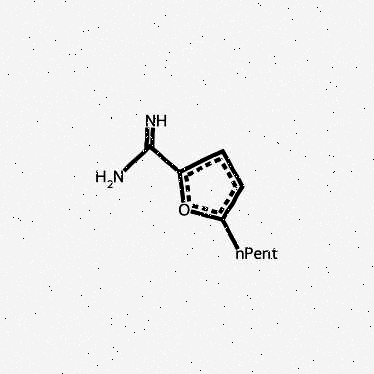 CCCCCc1ccc(C(=N)N)o1